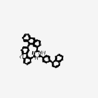 c1ccc(C2=NC(c3cccc4oc5ccc(-c6cccc7ccccc67)cc5c34)=NC(c3ccc(-c4cccc5ccccc45)cc3)N2)cc1